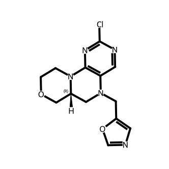 Clc1ncc2c(n1)N1CCOC[C@H]1CN2Cc1cnco1